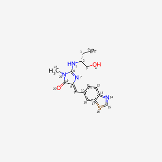 CC(C)C[C@H](CO)NC1=N/C(=C\c2ccc3ncsc3c2)C(=O)N1C